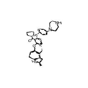 Cc1cc2c(F)c(Oc3ncnc(Nc4ccc(N5CCNCC5)cn4)c3C(=O)N3CCCCC3)ccc2[nH]1